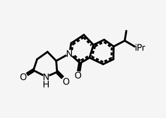 CC(C)C(C)c1ccc2c(=O)n(C3CCC(=O)NC3=O)ccc2c1